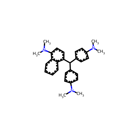 CN(C)c1ccc(C(c2ccc(N(C)C)cc2)c2ccc(N(C)C)c3ccccc23)cc1